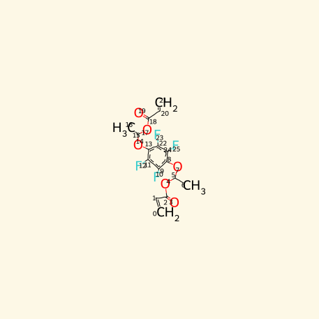 C=CC(=O)OC(C)Oc1c(F)c(F)c(OC(C)OC(=O)C=C)c(F)c1F